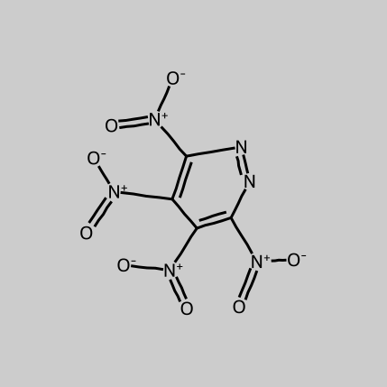 O=[N+]([O-])c1nnc([N+](=O)[O-])c([N+](=O)[O-])c1[N+](=O)[O-]